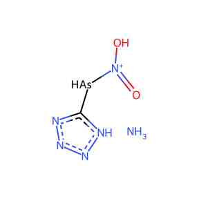 N.O=[N+](O)[AsH]c1nnn[nH]1